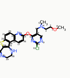 COCCN(C)Cc1cnc(Cl)nc1Oc1ccc2c(ccc3sc4c(c32)NCCNC4=O)n1